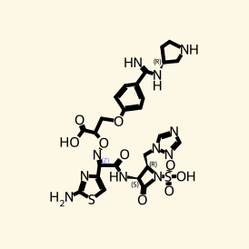 N=C(N[C@@H]1CCNC1)c1ccc(OCC(O/N=C(\C(=O)N[C@@H]2C(=O)N(S(=O)(=O)O)[C@@H]2Cn2cncn2)c2csc(N)n2)C(=O)O)cc1